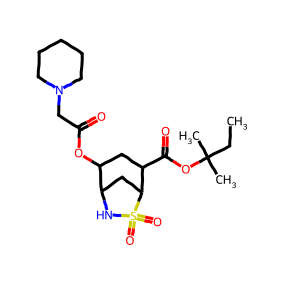 CCC(C)(C)OC(=O)C1CC(OC(=O)CN2CCCCC2)C2CC1S(=O)(=O)N2